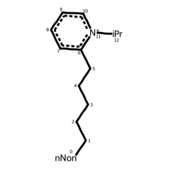 CCCCCCCCCCCCCCc1cccc[n+]1C(C)C